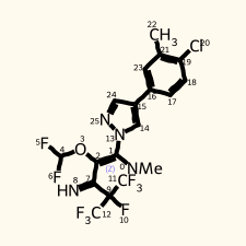 CN/C(=C(/OC(F)F)C(=N)C(F)(C(F)(F)F)C(F)(F)F)n1cc(-c2ccc(Cl)c(C)c2)cn1